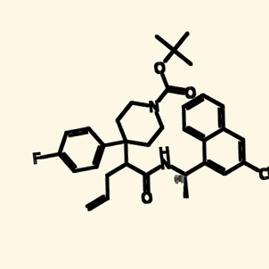 C=CCC(C(=O)N[C@H](C)c1cc(Cl)cc2ccccc12)C1(c2ccc(F)cc2)CCN(C(=O)OC(C)(C)C)CC1